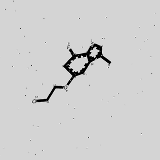 Cc1csc2c(F)cc(OCCCl)cc12